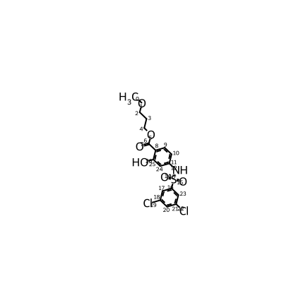 COCCCOC(=O)c1ccc(NS(=O)(=O)c2cc(Cl)cc(Cl)c2)cc1O